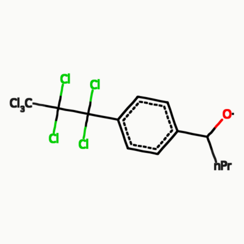 CCCC([O])c1ccc(C(Cl)(Cl)C(Cl)(Cl)C(Cl)(Cl)Cl)cc1